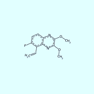 C=Cc1c(F)ccc2nc(OC)c(OC)nc12